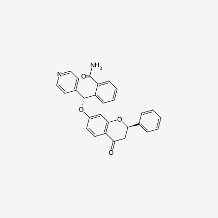 NC(=O)c1ccccc1[C@H](Oc1ccc2c(c1)O[C@@H](c1ccccc1)CC2=O)c1ccncc1